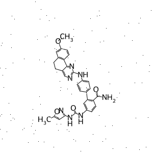 COc1ccc2c(c1)CCc1cnc(Nc3ccc(-c4cc(NC(=O)Nc5cc(C)on5)ccc4C(N)=O)cc3)nc1-2